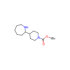 CC(C)(C)OC(=O)N1CCC(C2CCCCCN2)CC1